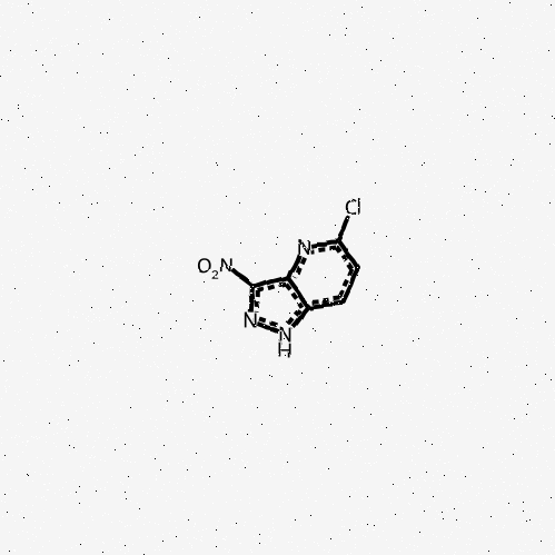 O=[N+]([O-])c1n[nH]c2ccc(Cl)nc12